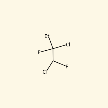 CCC(F)(Cl)C(F)Cl